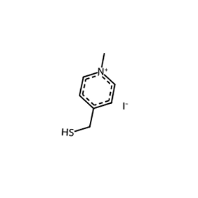 C[n+]1ccc(CS)cc1.[I-]